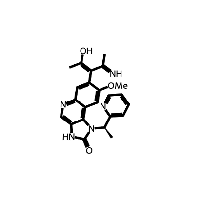 COc1cc2c(cc1/C(C(C)=N)=C(\C)O)ncc1[nH]c(=O)n([C@H](C)c3ccccn3)c12